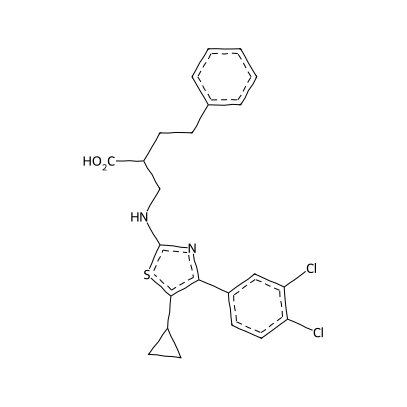 O=C(O)C(CCc1ccccc1)CNc1nc(-c2ccc(Cl)c(Cl)c2)c(C2CC2)s1